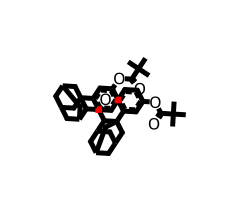 CC(C)(C)C(=O)Oc1cccc(C23CC4CC(CC(C4)C2C(=O)C2C4CC5CC(C4)CC2(c2cccc(OC(=O)C(C)(C)C)c2)C5)C3)c1